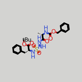 C[C@H](NC(=O)OCc1ccccc1)C(=O)NNS(=O)(=O)N[C@H](Cc1ccccc1)C(=O)OC(C)(C)C